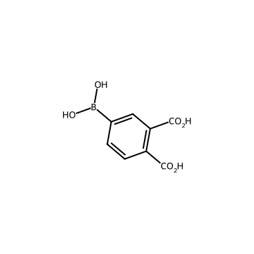 O=C(O)c1ccc(B(O)O)cc1C(=O)O